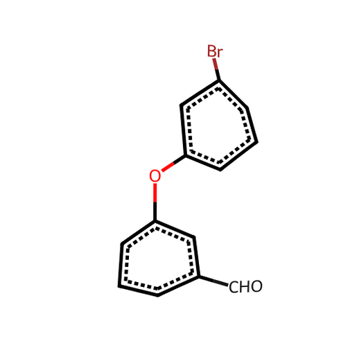 O=Cc1cccc(Oc2cccc(Br)c2)c1